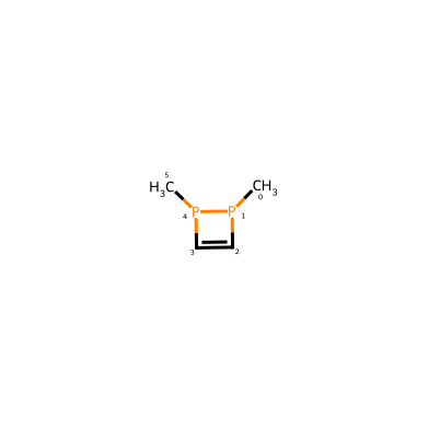 Cp1ccp1C